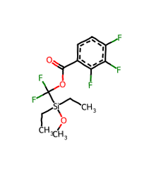 CC[Si](CC)(OC)C(F)(F)OC(=O)c1ccc(F)c(F)c1F